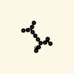 c1ccc(-c2ccc(N(c3ccc(-c4ccccc4)cc3)c3ccc(-c4ccc(-c5ccc(-c6cc(-c7ccc8c(c7)oc7ccccc78)cc(-c7ccc8c(c7)c7ccccc7n8-c7ccccc7)c6)cc5)cc4)cc3)cc2)cc1